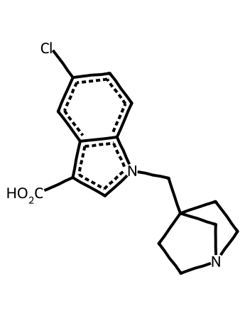 O=C(O)c1cn(CC23CCN(CC2)C3)c2ccc(Cl)cc12